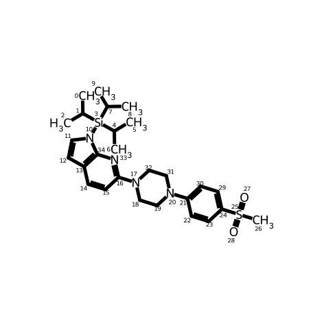 CC(C)[Si](C(C)C)(C(C)C)n1ccc2ccc(N3CCN(c4ccc(S(C)(=O)=O)cc4)CC3)nc21